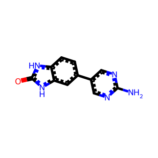 Nc1ncc(-c2ccc3[nH]c(=O)[nH]c3c2)cn1